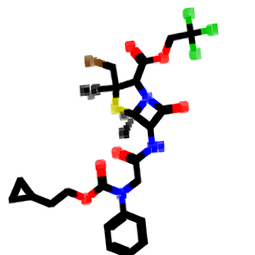 CC1(CBr)S[C@@H]2C(NC(=O)CN(C(=O)OCCC3CC3)c3ccccc3)C(=O)N2C1C(=O)OCC(Cl)(Cl)Cl